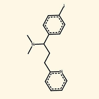 CN(C)C(CCc1ccccn1)c1ccc(I)cc1